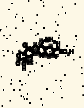 CC[C@@]1(O)C(=O)OCc2c1cc1n(c2=O)Cc2c-1nc1cc(F)c(NC(=O)O)cc1c2CN